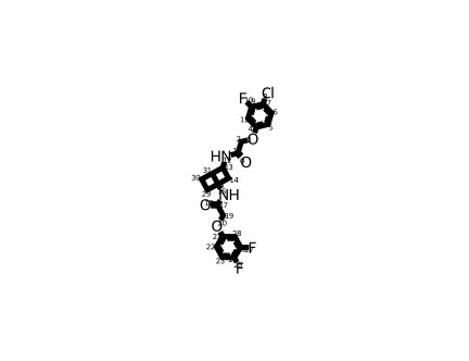 O=C(COc1ccc(Cl)c(F)c1)NC1CC2(NC(=O)COc3ccc(F)c(F)c3)CCC12